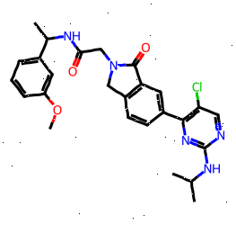 COc1cccc(C(C)NC(=O)CN2Cc3ccc(-c4nc(NC(C)C)ncc4Cl)cc3C2=O)c1